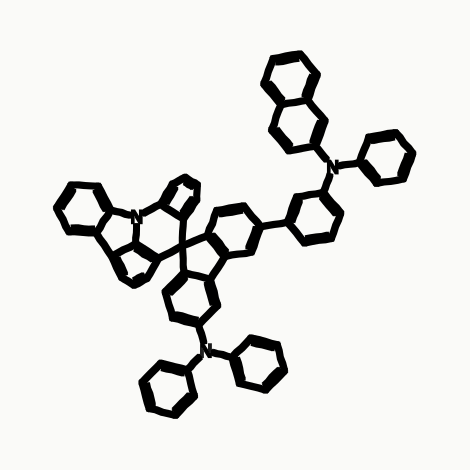 c1ccc(N(c2ccccc2)c2ccc3c(c2)-c2cc(-c4cccc(N(c5ccccc5)c5ccc6ccccc6c5)c4)ccc2C32c3ccccc3-n3c4ccccc4c4cccc2c43)cc1